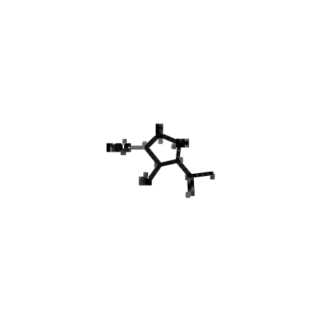 C=C(C)C1NNC(C(=O)OCC)C1C(C)CC